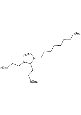 CCCCCCCCCCCCCCCCCN1C=CN(CCCCCCCCCCCC)C1CCCCCCCCCCCC